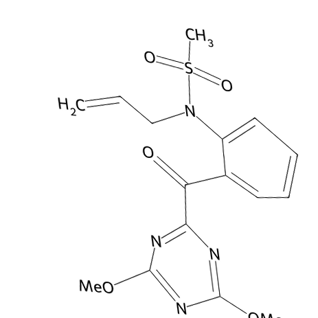 C=CCN(c1ccccc1C(=O)c1nc(OC)nc(OC)n1)S(C)(=O)=O